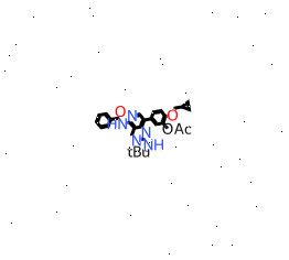 CC(=O)Oc1cc(-c2cnc(NC(=O)c3ccccc3)c3cnc(NC(C)(C)C)nc23)ccc1OCC1CC1